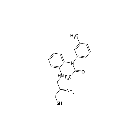 Cc1cccc(N(C(=O)C(F)(F)F)c2ccccc2NC[C@@H](N)CS)c1